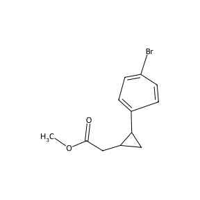 COC(=O)CC1CC1c1ccc(Br)cc1